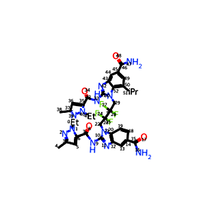 CCn1nc(C)cc1C(=O)Nc1nc2cc(C(N)=O)ccc2n1CC(F)(F)C(F)(F)Cn1c(NC(=O)c2cc(C)nn2CC)nc2cc(C(N)=O)cc(C(C)C)c21